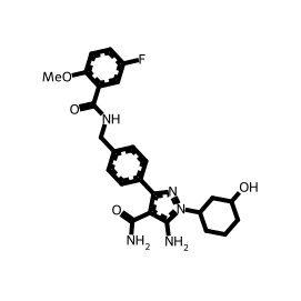 COc1ccc(F)cc1C(=O)NCc1ccc(-c2nn(C3CCCC(O)C3)c(N)c2C(N)=O)cc1